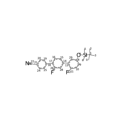 CC(C)(C)[Si](C)(C)Oc1ccc(F)c(-c2ccc(-c3ccc(C#N)cc3)c(F)c2)c1